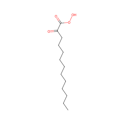 CCCCCCCCCCCC(=O)C(=O)OO